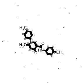 Cc1ccc(NC(=O)c2cn(-c3ccc(C)cc3)c(C)cc2=O)cc1